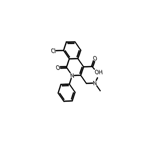 CN(C)Cc1c(C(=O)O)c2cccc(Cl)c2c(=O)n1-c1ccccc1